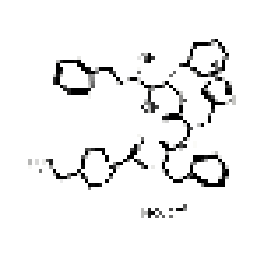 CC(=O)O.NCC1CCN(C(=O)C[C@@H](Cc2ccccc2)C(=O)N[C@@H](Cc2c[nH]cn2)C(=O)N[C@@H](CC2CCCCC2)[C@@H](O)[C@@H](O)CCc2ccccn2)CC1